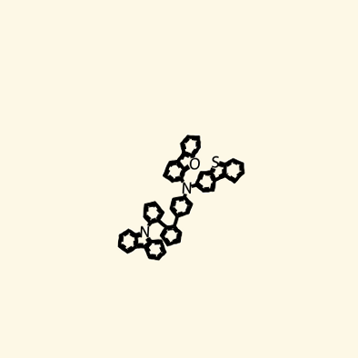 c1ccc(-c2ccccc2-n2c3ccccc3c3ccccc32)c(-c2ccc(N(c3ccc4c(c3)sc3ccccc34)c3cccc4c3oc3ccccc34)cc2)c1